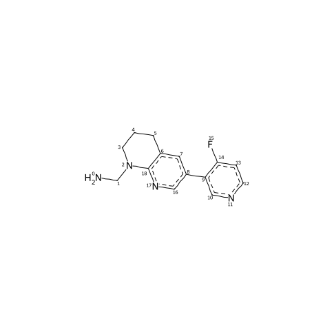 NCN1CCCc2cc(-c3cnccc3F)cnc21